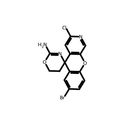 NC1=NC2(CCO1)c1cc(Br)ccc1Oc1cnc(Cl)cc12